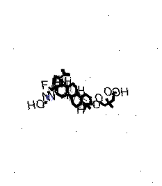 C=C(C)[C@@H]1CC[C@]2([C@H](F)/N=N/CO)CC[C@]3(C)[C@H](CC[C@@H]4[C@@]5(C)CC[C@H](OC(=O)CC(C)(C)CC(=O)O)C(C)(C)[C@@H]5CC[C@]43C)[C@@H]12